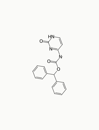 O=C([N]c1cc[nH]c(=O)n1)OC(c1ccccc1)c1ccccc1